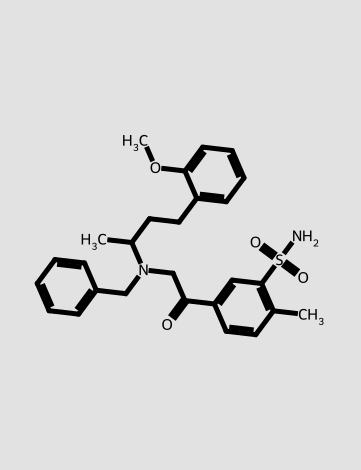 COc1ccccc1CCC(C)N(CC(=O)c1ccc(C)c(S(N)(=O)=O)c1)Cc1ccccc1